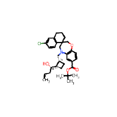 C=CC[C@H](O)[C@@H]1CC[C@H]1CN1CC2(CCCc3cc(Cl)ccc32)COc2ccc(C(=O)OC(C)(C)C)cc21